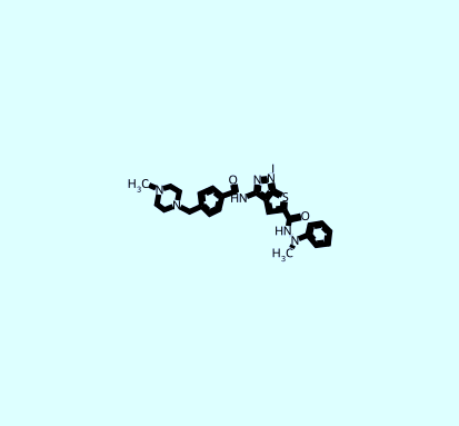 CN1CCN(Cc2ccc(C(=O)Nc3nn(I)c4sc(C(=O)NN(C)c5ccccc5)cc34)cc2)CC1